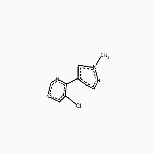 Cn1cc(-c2ncncc2Cl)cn1